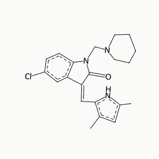 Cc1cc(C)c(/C=C2\C(=O)N(CN3CCCCC3)c3ccc(Cl)cc32)[nH]1